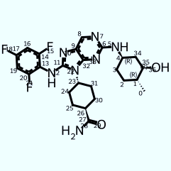 C[C@@H]1CC[C@@H](Nc2ncc3nc(Nc4c(F)cc(F)cc4F)n([C@H]4CC[C@H](C(N)=O)CC4)c3n2)C[C@H]1O